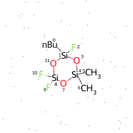 CCCC[Si]1(F)O[Si](C)(C)O[Si](F)(F)O1